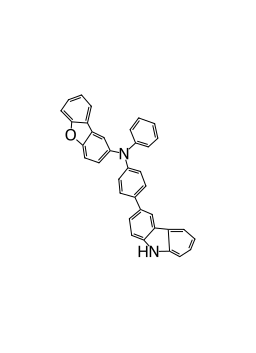 c1ccc(N(c2ccc(-c3ccc4[nH]c5ccccc5c4c3)cc2)c2ccc3oc4ccccc4c3c2)cc1